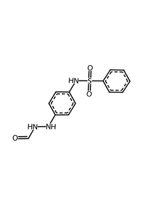 O=CNNc1ccc(NS(=O)(=O)c2ccccc2)cc1